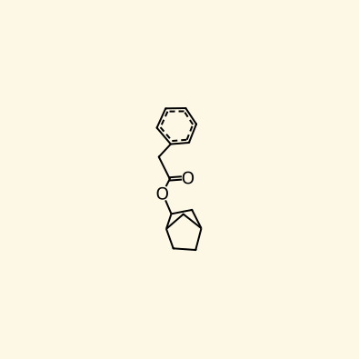 O=C(Cc1ccccc1)OC1CC2CCC1C2